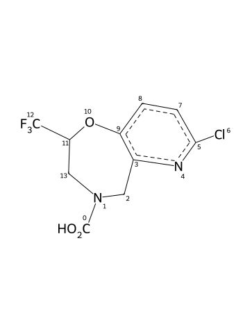 O=C(O)N1Cc2nc(Cl)ccc2OC(C(F)(F)F)C1